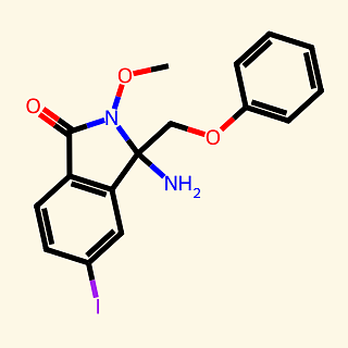 CON1C(=O)c2ccc(I)cc2C1(N)COc1ccccc1